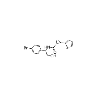 O=C(N[C@@H](CO)c1ccc(Br)cc1)[C@H]1C[C@@H]1c1cccs1